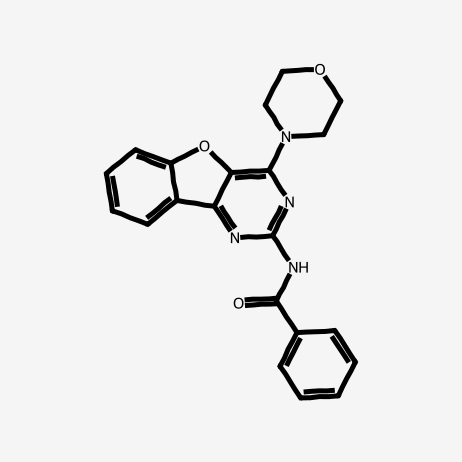 O=C(Nc1nc(N2CCOCC2)c2oc3ccccc3c2n1)c1ccccc1